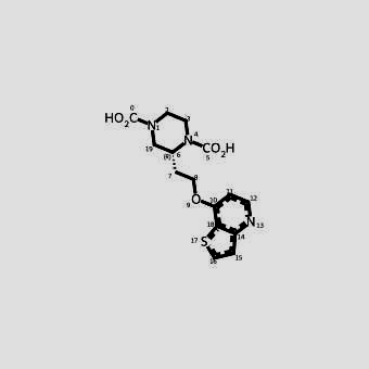 O=C(O)N1CCN(C(=O)O)[C@H](CCOc2ccnc3ccsc23)C1